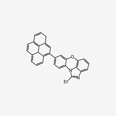 CCc1nc2cccc3c2n1-c1ccc(C2=C4C=CC=C5C=CC6=C(C(=C2)CC=C6)C54)cc1O3